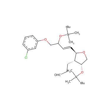 CC(C)(C)[Si](C)(C)OC(/C=C/[C@H]1OC[C@H](O[Si](C)(C)C(C)(C)C)[C@@H]1CCC=O)COc1cccc(Cl)c1